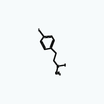 CN(I)CCc1ccc(I)cc1